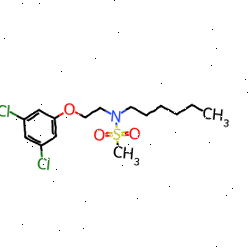 CCCCCCN(CCOc1cc(Cl)cc(Cl)c1)S(C)(=O)=O